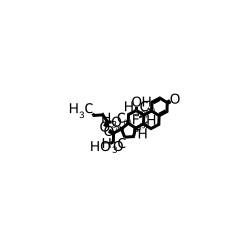 CCCC(=O)O[C@]1(C(=O)C(=O)O)C(C)C[C@H]2[C@@H]3CCC4=CC(=O)C=C[C@]4(C)[C@@]3(F)C(O)C[C@@]21C